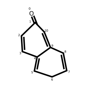 O=C1C=CC2=CCC=CC2=C1